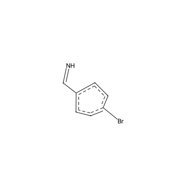 N=Cc1ccc(Br)cc1